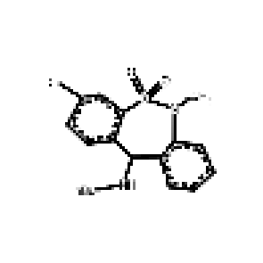 CCCCNC1c2ccccc2N(C)S(=O)(=O)c2cc(Cl)ccc21